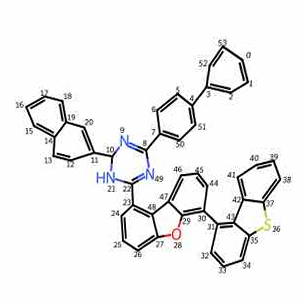 c1ccc(-c2ccc(C3=NC(c4ccc5ccccc5c4)NC(c4cccc5oc6c(-c7cccc8sc9ccccc9c78)cccc6c45)=N3)cc2)cc1